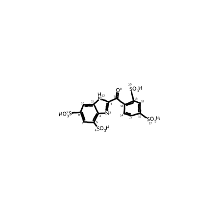 O=C(c1nc2c(S(=O)(=O)O)cc(S(=O)(=O)O)cc2[nH]1)c1ccc(S(=O)(=O)O)cc1S(=O)(=O)O